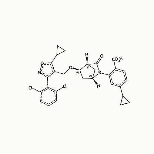 O=C(O)c1ccc(C2CC2)cc1N1C(=O)[C@@H]2C[C@H]1C[C@H]2OCc1c(-c2c(Cl)cccc2Cl)noc1C1CC1